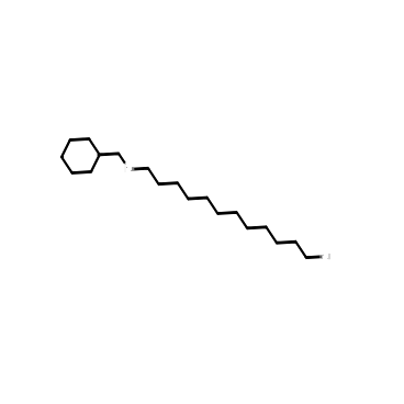 NCCCCCCCCCCCCNCC1CCCCC1